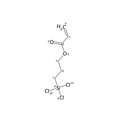 C=CC(=O)OCCC[Si](Cl)(Cl)Cl